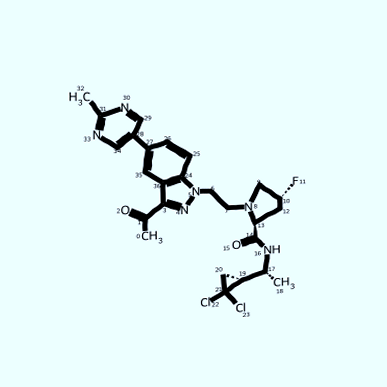 CC(=O)c1nn(CCN2C[C@H](F)C[C@H]2C(=O)N[C@H](C)[C@H]2CC2(Cl)Cl)c2ccc(-c3cnc(C)nc3)cc12